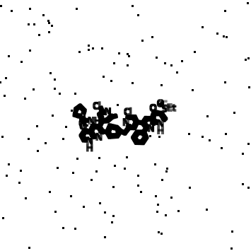 CC[S+]([O-])c1c[nH]c2nc(-c3ccccc3)c(-c3cc(Cl)nc(Cc4ccc(-c5nc6[nH]ccc(=O)c6c(NC(=O)N6CCCC6)c5-c5cc(C)nc(Cl)c5)cc4)c3)cc2c1=O